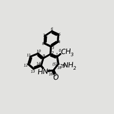 CC1=C(c2ccccc2)c2ccccc2NC(=O)[C@H]1N